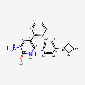 Nc1cc(-c2ccccc2)c(-c2ccc([C]3CCC3)cc2)[nH]c1=O